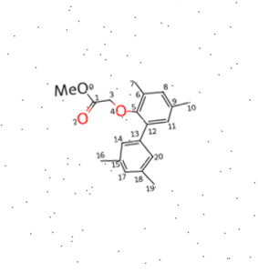 COC(=O)COc1c(C)cc(C)cc1-c1cc(C)cc(C)c1